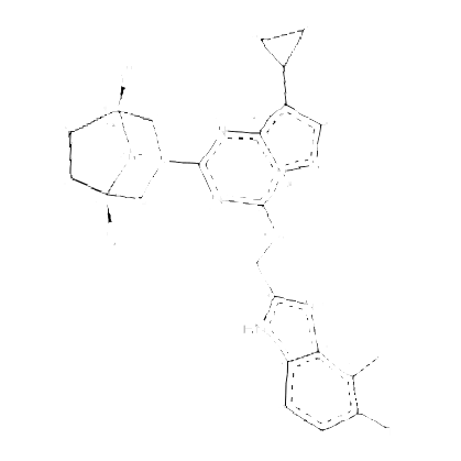 Fc1ccc2[nH]c(CNc3nc(N4C[C@H]5CC[C@@H](C4)N5)nc4c(C5CC5)cnn34)nc2c1F